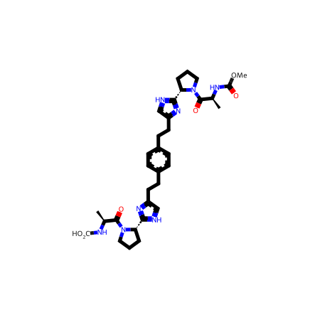 COC(=O)N[C@@H](C)C(=O)N1CCC[C@H]1c1nc(CCc2ccc(CCc3c[nH]c([C@@H]4CCCN4C(=O)[C@H](C)NC(=O)O)n3)cc2)c[nH]1